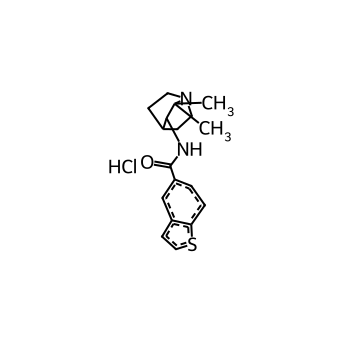 CC1(C)C(NC(=O)c2ccc3sccc3c2)C2CCN1CC2.Cl